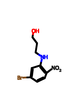 O=[N+]([O-])c1ccc(Br)cc1NCCCO